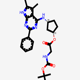 Cc1[nH]c2nc(-c3ccccc3)nc(N[C@@H]3CC[C@H](OC(=O)CNC(=O)OC(C)(C)C)C3)c2c1C